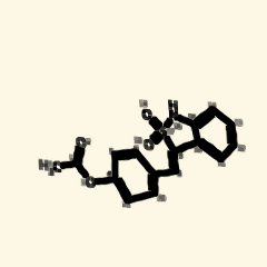 CC(=O)Oc1ccc(C=C2c3ccccc3NS2(=O)=O)cc1